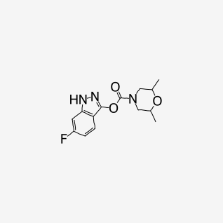 CC1CN(C(=O)Oc2n[nH]c3cc(F)ccc23)CC(C)O1